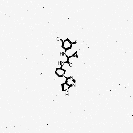 O=C(NC1CCCN(c2ncnc3[nH]ccc23)C1)C(Nc1cc(F)cc(Cl)c1)C1CC1